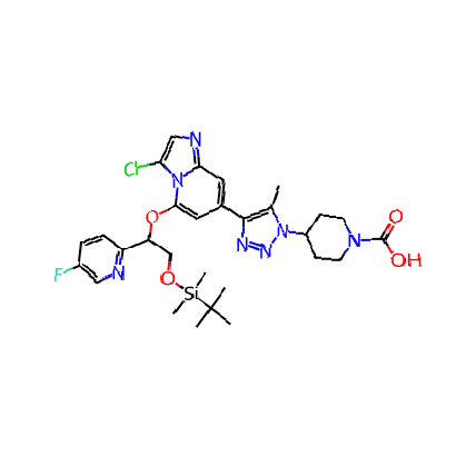 Cc1c(-c2cc(OC(CO[Si](C)(C)C(C)(C)C)c3ccc(F)cn3)n3c(Cl)cnc3c2)nnn1C1CCN(C(=O)O)CC1